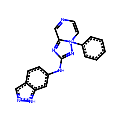 C1=C[N+]2(c3ccccc3)N=C(Nc3ccc4cn[nH]c4c3)N=C2C=N1